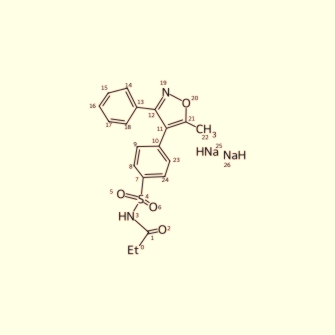 CCC(=O)NS(=O)(=O)c1ccc(-c2c(-c3ccccc3)noc2C)cc1.[NaH].[NaH]